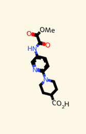 COC(=O)C(=O)Nc1ccc(N2CCC(C(=O)O)CC2)nc1